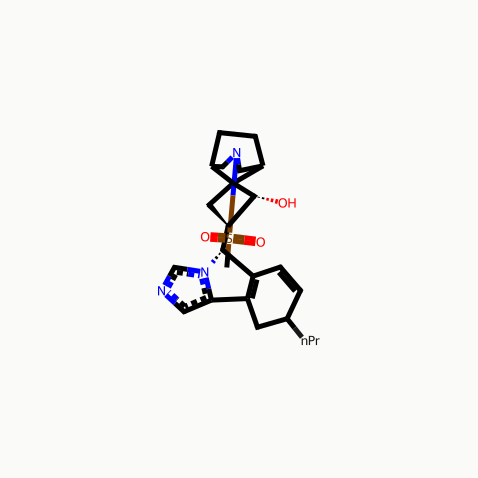 CCCC1C=CC2=C(C1)c1cncn1[C@@H]2[C@H]1CC2(C3CCC2CN(S(C)(=O)=O)C3)[C@@H]1O